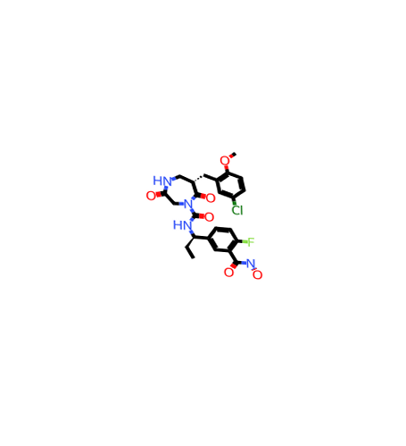 CC[C@@H](NC(=O)N1CC(=O)NC[C@H](Cc2cc(Cl)ccc2OC)C1=O)c1ccc(F)c(C(=O)N=O)c1